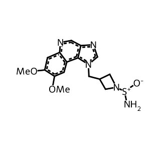 COc1cc2ncc3ncn(CC4CN([S+](N)[O-])C4)c3c2cc1OC